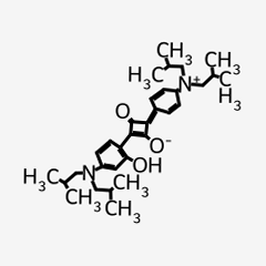 CC(C)CN(CC(C)C)c1ccc(C2=C([O-])C(=C3C=CC(=[N+](CC(C)C)CC(C)C)C=C3)C2=O)c(O)c1